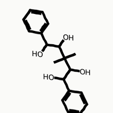 CC(C)(C(O)C(O)c1ccccc1)C(O)C(O)c1ccccc1